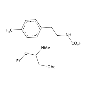 CCOC(COC(C)=O)NC.O=C(O)NCCc1ccc(C(F)(F)F)cc1